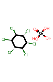 Cl[C@H]1[C@H](Cl)[C@@H](Cl)[C@@H](Cl)[C@H](Cl)[C@H]1Cl.[O]=[Sb]([OH])([OH])[OH]